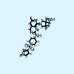 Cc1cc2cnc(NC3CCN(S(=O)(=O)c4ccn(C)n4)CC3)nc2c(N2CC(F)(F)C3(CNC3)C2)n1